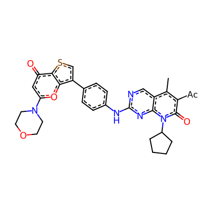 CC(=O)c1c(C)c2cnc(Nc3ccc(-c4csc5c(=O)cc(N6CCOCC6)oc45)cc3)nc2n(C2CCCC2)c1=O